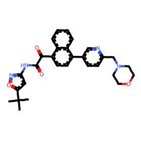 CC(C)(C)c1cc(NC(=O)C(=O)c2ccc(-c3ccc(CN4CCOCC4)nc3)c3ccccc23)no1